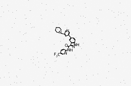 O=C(Nc1ccc(C(F)(F)F)cn1)c1n[nH]c2ccc(-c3cncc(CN4CCCCC4)c3)cc12